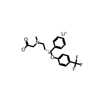 CN(CC[C@@H](Oc1ccc(C(F)(F)F)cc1)c1ccccc1)CC(=O)[O-].[Li+]